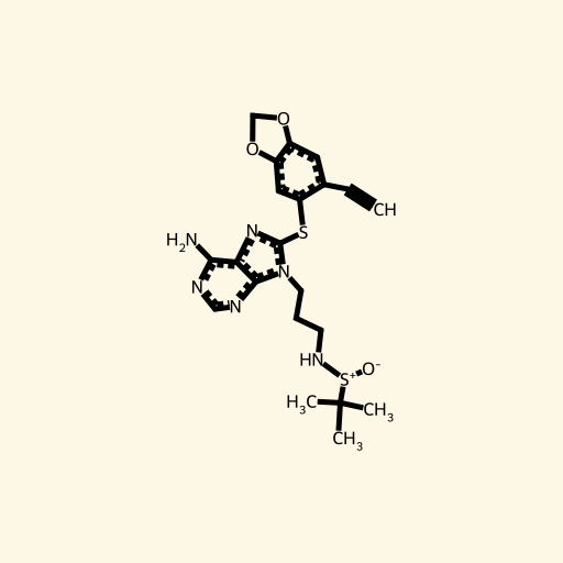 C#Cc1cc2c(cc1Sc1nc3c(N)ncnc3n1CCCN[S+]([O-])C(C)(C)C)OCO2